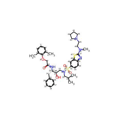 Cc1cccc(C)c1OCC(=O)N[C@@H](Cc1ccccc1)[C@H](O)CN(CC(C)C)S(=O)(=O)c1ccc2nc(N(C)CCN3CCCC3)sc2c1